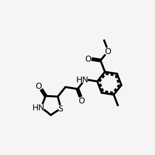 COC(=O)c1ccc(C)cc1NC(=O)CC1SCNC1=O